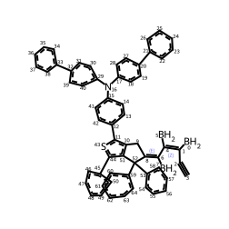 B/C(C#C)=C(B)/C(B)=C1\Cc2c(-c3ccc(N(c4ccc(-c5ccccc5)cc4)c4ccc(-c5ccccc5)cc4)cc3)sc(-c3ccccc3)c2C1(c1ccccc1)c1ccccc1